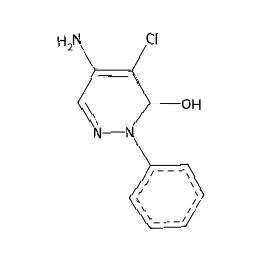 NC1=C(Cl)C(O)N(c2ccccc2)N=C1